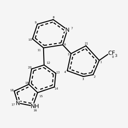 FC(F)(F)c1cccc(-c2ncccc2-c2ccc3[nH]ncc3c2)c1